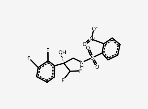 O=[N+]([O-])c1ccccc1S(=O)(=O)NC[C@](O)(c1cccc(F)c1F)C(F)F